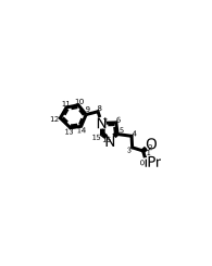 CC(C)C(=O)CCc1cn(Cc2ccccc2)cn1